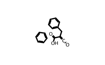 O=C=C(Cc1ccccc1)C(=O)O.c1ccccc1